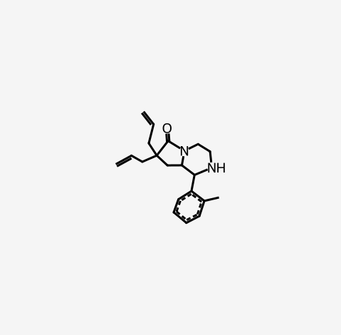 C=CCC1(CC=C)CC2C(c3ccccc3C)NCCN2C1=O